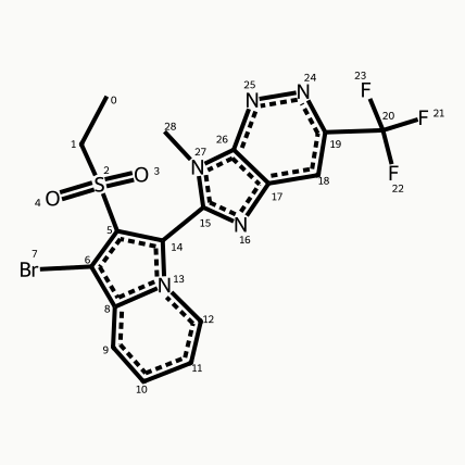 CCS(=O)(=O)c1c(Br)c2ccccn2c1-c1nc2cc(C(F)(F)F)nnc2n1C